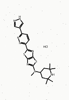 CN(c1nc2sc(-c3ccc(-c4cn[nH]c4)nn3)nc2s1)C1CC(C)(C)NC(C)(C)C1.Cl